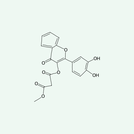 COC(=O)CC(=O)Oc1c(-c2ccc(O)c(O)c2)oc2ccccc2c1=O